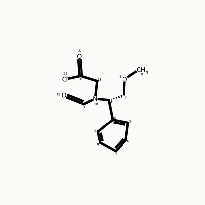 COC[C@H](c1ccccc1)N(C=O)CC(=O)Cl